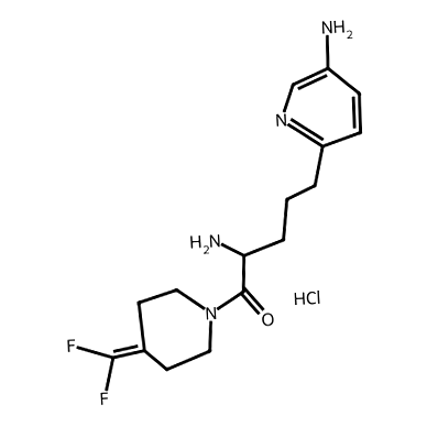 Cl.Nc1ccc(CCCC(N)C(=O)N2CCC(=C(F)F)CC2)nc1